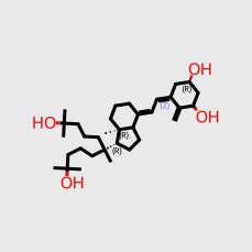 C=C1/C(=C\C=C2CCC[C@@]3(C)C2CC[C@@H]3C(C)(CCCC(C)(C)O)CCCC(C)(C)O)C[C@@H](O)CC1O